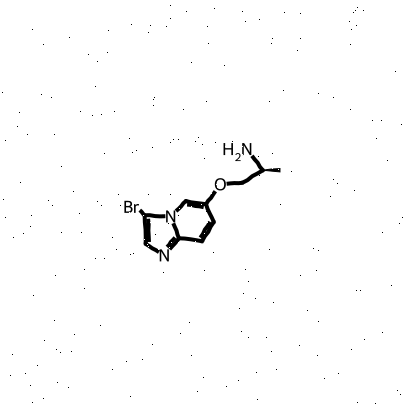 C[C@H](N)COc1ccc2ncc(Br)n2c1